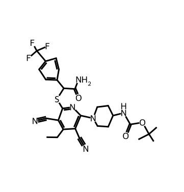 CCc1c(C#N)c(SC(C(N)=O)c2ccc(C(F)(F)F)cc2)nc(N2CCC(NC(=O)OC(C)(C)C)CC2)c1C#N